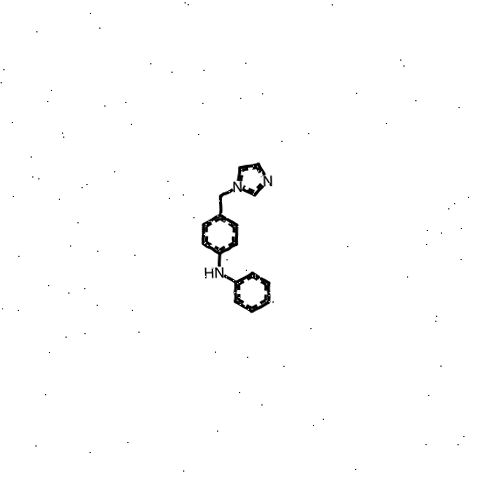 [c]1ccc(Nc2ccc(Cn3ccnc3)cc2)cc1